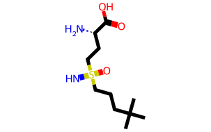 CC(C)(C)CCCS(=N)(=O)CC[C@H](N)C(=O)O